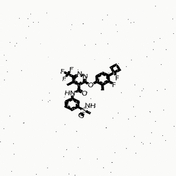 Cc1c(Oc2nnc(C(F)(F)F)c(C)c2C(=O)Nc2cccc(S(C)(=N)=O)c2)ccc(C2(F)CCC2)c1F